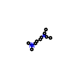 c1ccc(-c2ccc3c(c2)c2cc(-c4ccccc4)ccc2n3-c2ccc3cc(-c4ccc5cc(-c6nc(-c7ccccc7)nc(-c7ccccc7)n6)ccc5c4)ccc3c2)cc1